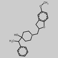 COc1ccc2c(c1)CC(CN1CCC(O)(C(C)c3ccccc3)CC1)O2